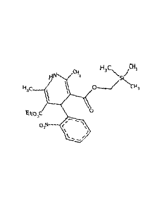 CCOC(=O)C1=C(C)NC(C)=C(C(=O)OC[Si](C)(C)C)C1c1ccccc1[N+](=O)[O-]